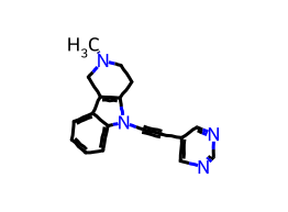 CN1CCc2c(c3ccccc3n2C#Cc2cncnc2)C1